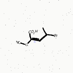 CC(C)C(C)/C=C(/OC#N)C(=O)O